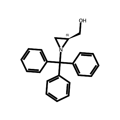 OC[C@@H]1CN1C(c1ccccc1)(c1ccccc1)c1ccccc1